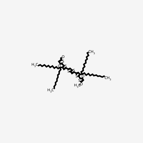 CCCCCCCCCCCCC1(CCCCCCCCCCCC)Oc2cc(C=O)sc2-c2sc(-c3cc4sc(-c5cc6c(s5)-c5sc(OC)cc5OC6(CCCCCCCCCCCC)CCCCCCCCCCCC)cc4s3)cc21